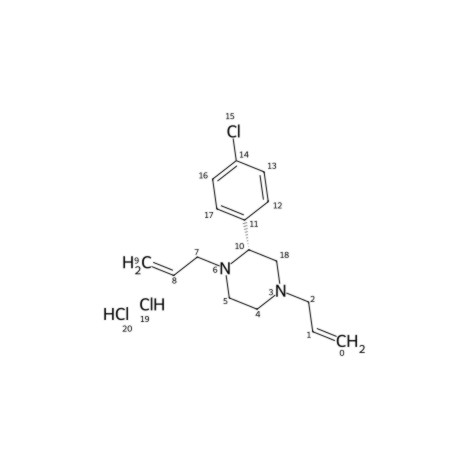 C=CCN1CCN(CC=C)[C@H](c2ccc(Cl)cc2)C1.Cl.Cl